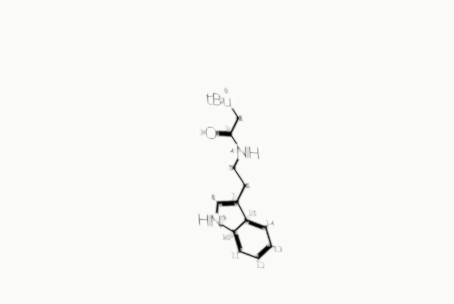 CC(C)(C)CC(=O)NCCc1c[nH]c2ccccc12